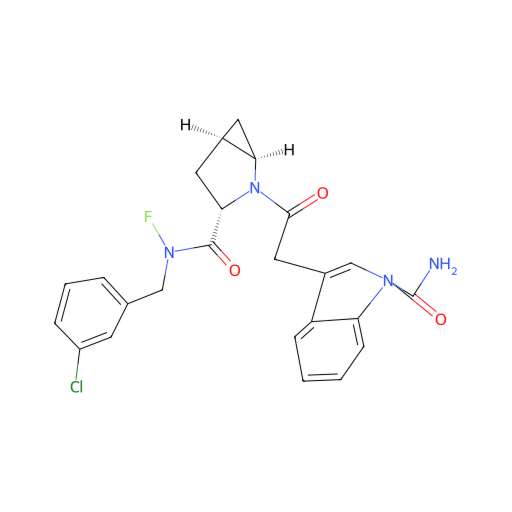 NC(=O)n1cc(CC(=O)N2[C@@H]3C[C@@H]3C[C@H]2C(=O)N(F)Cc2cccc(Cl)c2)c2ccccc21